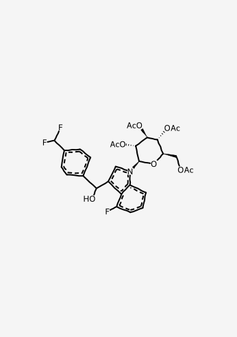 CC(=O)OC[C@H]1O[C@@H](n2cc(C(O)c3ccc(C(F)F)cc3)c3c(F)cccc32)[C@H](OC(C)=O)[C@@H](OC(C)=O)[C@@H]1OC(C)=O